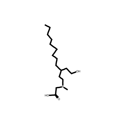 CCCCCCCCCC(CCO)CCN(C)CC(=O)O